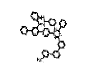 N#Cc1cccc(-c2cccc(-c3cccc(-c4nc(-c5ccccc5)nc(-c5ccc(-c6ccc(-c7ccccc7)cc6-c6nc(-c7ccccc7)nc7ccccc67)cc5)n4)c3)c2)c1